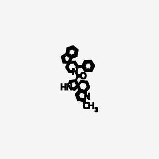 Cc1ccc2c(n1)CCC[C@]21CNC[C@H]1C(=O)N1CCC2(C=Cc3ccccc32)CC1c1ccccc1